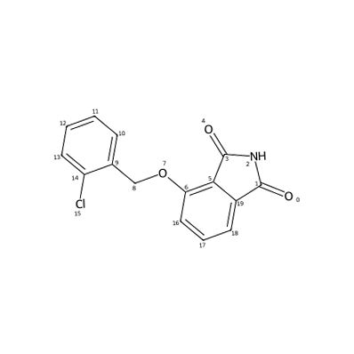 O=C1NC(=O)c2c(OCc3ccccc3Cl)cccc21